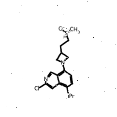 CC(C)c1ccc(N2CC(CC[S@+](C)[O-])C2)c2cnc(Cl)cc12